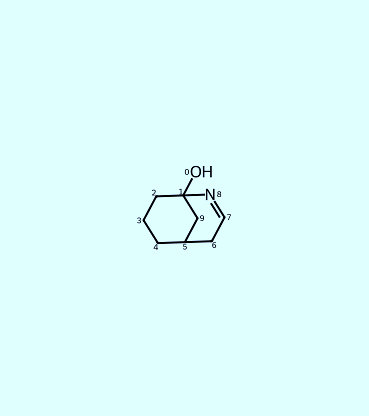 OC12CCCC(CC=N1)C2